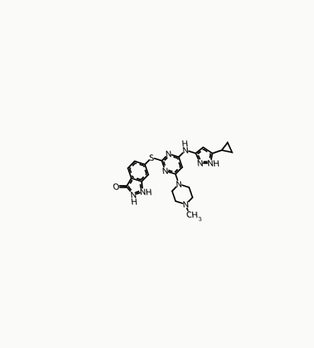 CN1CCN(c2cc(Nc3cc(C4CC4)[nH]n3)nc(Sc3ccc4c(=O)[nH][nH]c4c3)n2)CC1